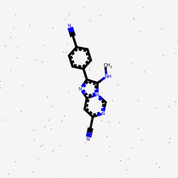 CNc1c(-c2ccc(C#N)cc2)nc2cc(C#N)ncn12